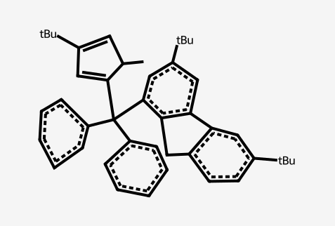 CC1C=C(C(C)(C)C)C=C1C(c1ccccc1)(c1ccccc1)c1cc(C(C)(C)C)cc2c1Cc1ccc(C(C)(C)C)cc1-2